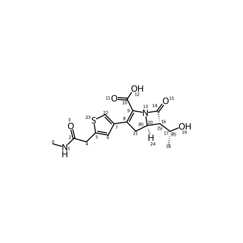 CNC(=O)Cc1cc(C2=C(C(=O)O)N3C(=O)[C@H]([C@@H](C)O)[C@H]3C2)cs1